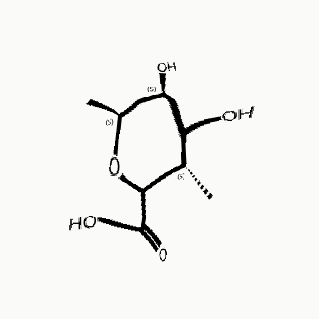 C[C@@H]1C(C(=O)O)O[C@@H](C)[C@@H](O)C1O